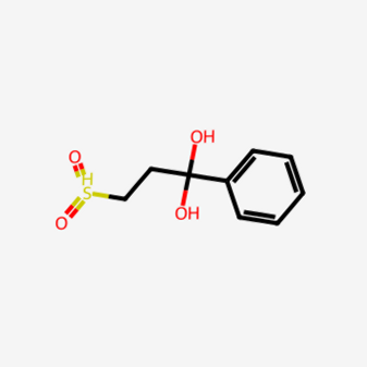 O=[SH](=O)CCC(O)(O)c1ccccc1